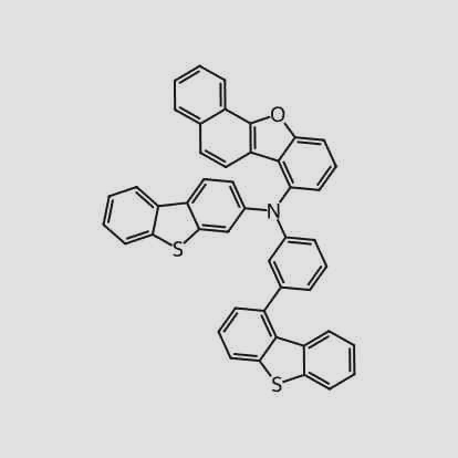 c1cc(-c2cccc3sc4ccccc4c23)cc(N(c2ccc3c(c2)sc2ccccc23)c2cccc3oc4c5ccccc5ccc4c23)c1